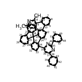 Cc1ccc(-c2ccccc2-c2ccc3c(c2)C2(c4ccccc4-c4ccccc42)c2cccc(-c4cc(-c5ccccc5)nc(-c5ccccc5)n4)c2-3)c(C)n1